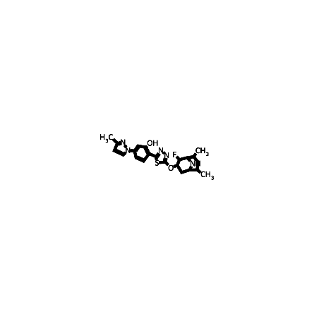 Cc1ccn(-c2ccc(-c3nnc(OC4CC5NC(C(C)CC5C)C4F)s3)c(O)c2)n1